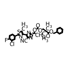 Cc1sc(-c2ccc(F)c(Cl)c2)nc1-c1nn(C(C)OC(=O)OCC(C)(C)C(=O)OCc2ccccc2)nc1C#N